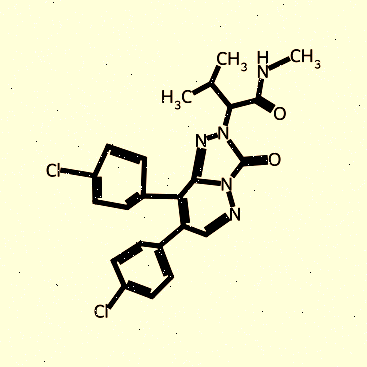 CNC(=O)C(C(C)C)n1nc2c(-c3ccc(Cl)cc3)c(-c3ccc(Cl)cc3)cnn2c1=O